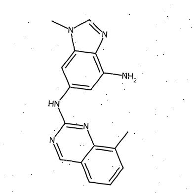 Cc1cccc2cnc(Nc3cc(N)c4ncn(C)c4c3)nc12